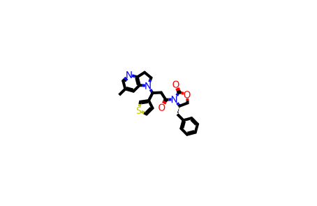 Cc1cnc2c(c1)N(C(CC(=O)N1C(=O)OC[C@@H]1Cc1ccccc1)c1ccsc1)CC2